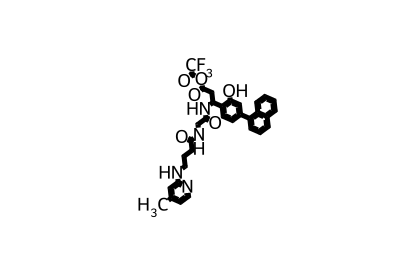 Cc1ccnc(NCCCC(=O)NCC(=O)NC(CC(=O)OC(=O)C(F)(F)F)c2ccc(-c3cccc4ccccc34)cc2O)c1